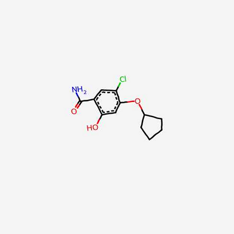 NC(=O)c1cc(Cl)c(OC2CCCC2)cc1O